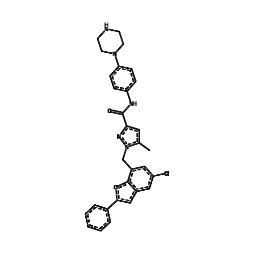 Cc1cc(C(=O)Nc2ccc(N3CCNCC3)cc2)nn1Cc1cc(Cl)cc2cc(-c3ccccc3)oc12